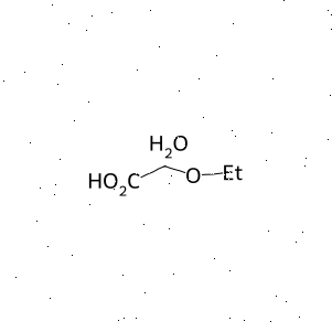 CCOCC(=O)O.O